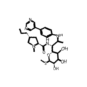 CCC[C@@H]1C[C@@H](C(=O)N[C@H](C(C)Nc2ccc(-c3cncnc3)cc2)[C@H]2OC(SC)[C@H](O)C(O)C2O)N(C)C1